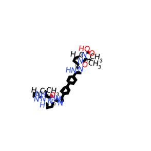 CC(C)[C@@H](C(=O)N1CCC[C@H]1c1ncc(-c2ccc(-c3ccc(-c4cnc([C@@H]5CCCN5C(=O)[C@H](NC5=NCCN5)C(C)C)[nH]4)cc3)cc2)[nH]1)N(C)C(=O)O